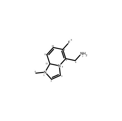 CN1C=CN2C(CN)=C(F)C=CC12